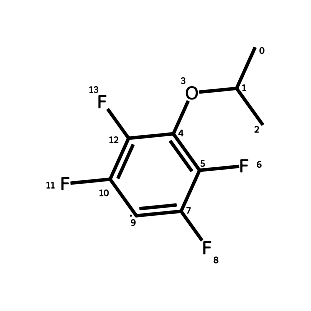 CC(C)Oc1c(F)c(F)[c]c(F)c1F